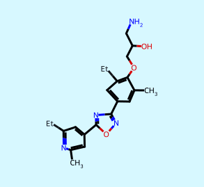 CCc1cc(-c2nc(-c3cc(C)c(OCC(O)CN)c(CC)c3)no2)cc(C)n1